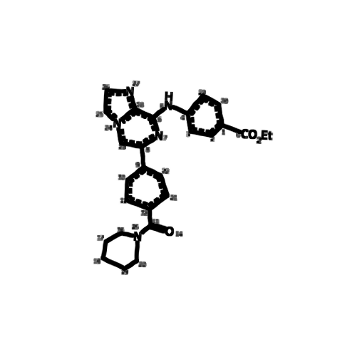 CCOC(=O)c1ccc(Nc2nc(-c3ccc(C(=O)N4CCCCC4)cc3)cn3ccnc23)cc1